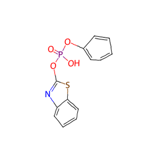 O=P(O)(Oc1ccccc1)Oc1nc2ccccc2s1